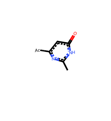 CC(=O)c1cc(=O)[nH]c(C)n1